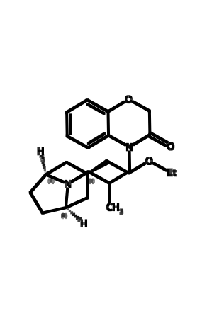 CCOCC[C@H]1C[C@H]2CC[C@@H](C1)N2CC(C)CN1C(=O)COc2ccccc21